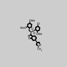 CCc1ccc(OC)c(S(=O)(=O)N(Cc2ccc(OC)cc2OC)c2noc3cc(-c4cnn(C)c4)ccc23)c1